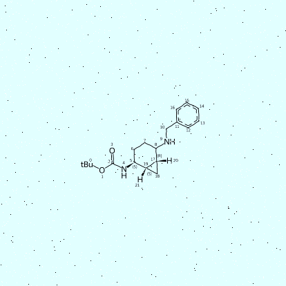 CC(C)(C)OC(=O)N[C@H]1CCC(NCc2ccccc2)[C@@H]2C[C@H]12